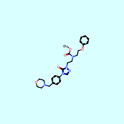 CC(C)(C)OC(=O)N(CCOc1ccccc1)CCn1ncn(-c2ccc(CN3CCOCC3)cc2)c1=O